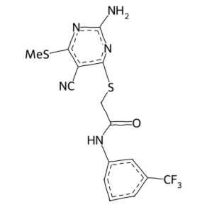 CSc1nc(N)nc(SCC(=O)Nc2cccc(C(F)(F)F)c2)c1C#N